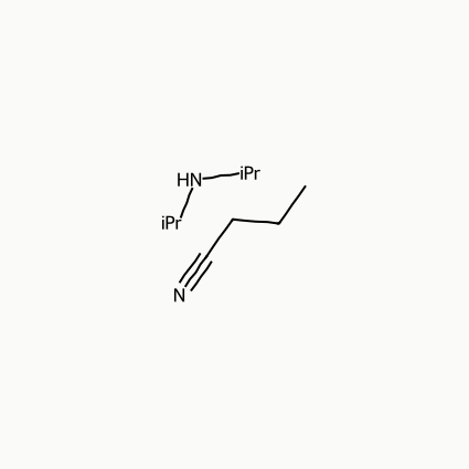 CC(C)NC(C)C.CCCC#N